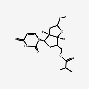 COC1O[C@@H]2[C@H](O1)[C@@H](COC(=O)C(C)C)O[C@H]2n1ccc(=O)[nH]c1=O